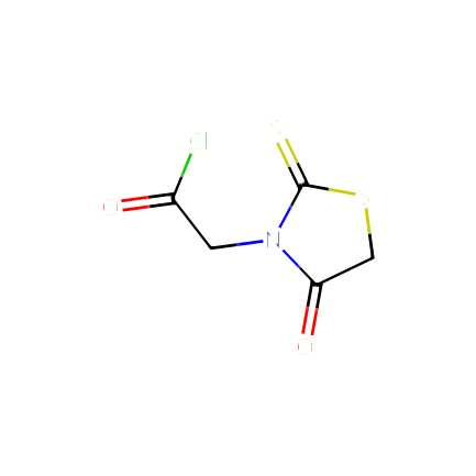 O=C(Cl)CN1C(=O)CSC1=S